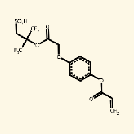 C=CC(=O)Oc1ccc(OCC(=O)OC(CS(=O)(=O)O)(C(F)(F)F)C(F)(F)F)cc1